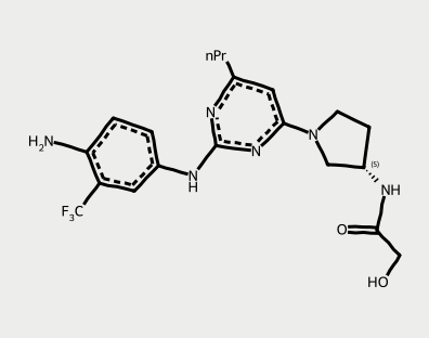 CCCc1cc(N2CC[C@H](NC(=O)CO)C2)nc(Nc2ccc(N)c(C(F)(F)F)c2)n1